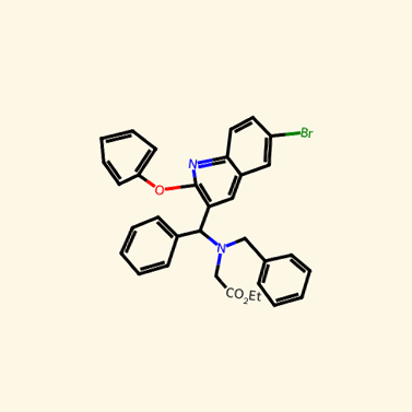 CCOC(=O)CN(Cc1ccccc1)C(c1ccccc1)c1cc2cc(Br)ccc2nc1Oc1ccccc1